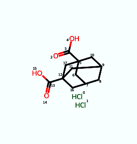 Cl.Cl.O=C(O)C12CC3CC(C1)CC(C(=O)O)(C3)C2